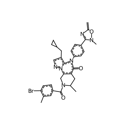 C=C1N=C(c2ccc(-n3c(=O)c4c(n5ncc(CC6CC6)c35)CN(C(=O)c3ccc(Br)c(C)c3)C(C)C4)cc2)N(C)O1